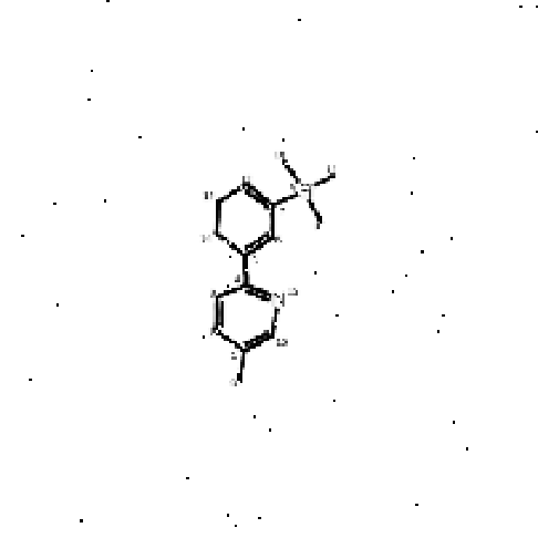 Cc1ccc(C2=CC([Si](C)(C)C)=CCC2)nc1